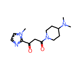 CN(C)C1CCN(C(=O)CC(=O)c2nccn2C)CC1